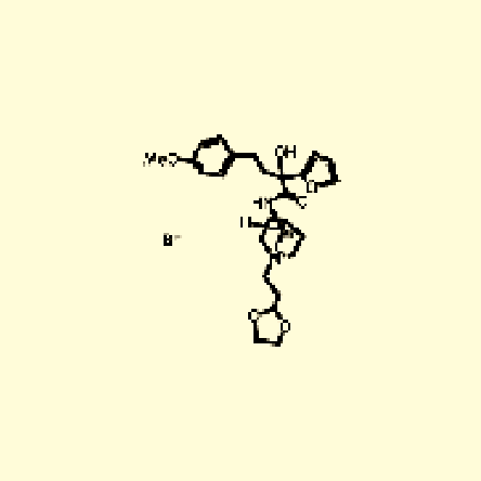 COc1ccc(CCC(O)(C(=O)N[C@H]2C[N+]3(CCC4OCCO4)CCC2CC3)c2ccco2)cc1.[Br-]